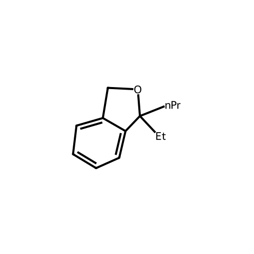 CCCC1(CC)OCc2ccccc21